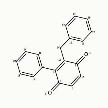 O=C1C=CC(=O)C(c2ccccc2)=C1Cc1ccccc1